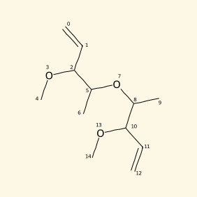 C=CC(OC)C(C)OC(C)C(C=C)OC